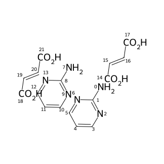 Nc1ncccn1.Nc1ncccn1.O=C(O)/C=C/C(=O)O.O=C(O)/C=C/C(=O)O